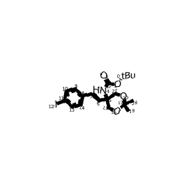 CC(C)(C)OC(=O)NC1(C=Cc2ccc(I)cc2)COC(C)(C)OC1